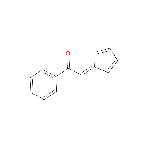 O=C(C=C1C=CC=C1)c1ccccc1